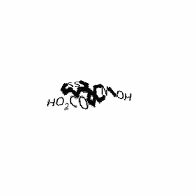 O=C(O)C(OC1CC2(CCN(CCO)CC2)C1)(c1cccs1)c1cccs1